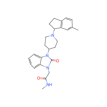 CNC(=O)Cn1c(=O)n(C2CCN(C3CCc4ccc(C)cc43)CC2)c2ccccc21